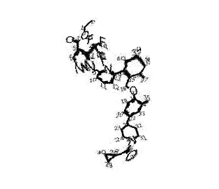 CCOC(=O)c1cnn(-c2cccc(C3=C(COc4ccc(C5CCN(C(=O)C6CC6)CC5)cc4C)C(C)CCC3)n2)c1C(F)(F)F